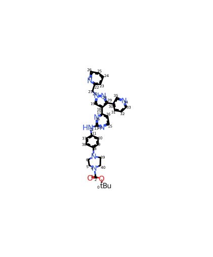 CC(C)(C)OC(=O)N1CCN(c2ccc(Nc3nccc(-c4cn(Cc5ccccn5)nc4-c4cccnc4)n3)cc2)CC1